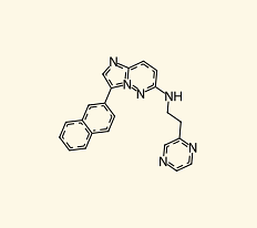 c1ccc2cc(-c3cnc4ccc(NCCc5cnccn5)nn34)ccc2c1